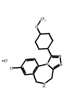 Cl.FC(F)(F)OC1CCC(c2nnc3n2-c2ccc(Cl)cc2CNC3)CC1